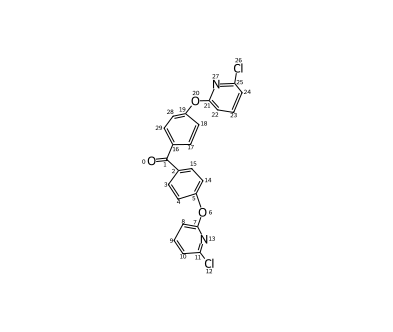 O=C(c1ccc(Oc2cccc(Cl)n2)cc1)c1ccc(Oc2cccc(Cl)n2)cc1